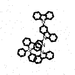 c1ccc([Si](c2ccccc2)(c2ccccc2)c2ccccc2-c2cc(-n3c4ccccc4c4ccccc43)nc(-n3c4ccccc4c4cc(-n5c6ccccc6c6ccccc65)ccc43)c2)cc1